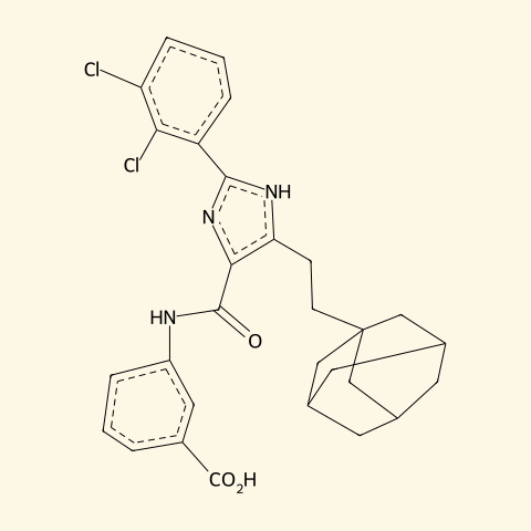 O=C(O)c1cccc(NC(=O)c2nc(-c3cccc(Cl)c3Cl)[nH]c2CCC23CC4CC(CC(C4)C2)C3)c1